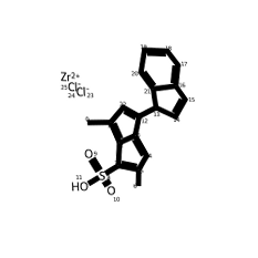 CC1=C2C(=CC(C)=C2S(=O)(=O)O)C(C2C=Cc3ccccc32)=C1.[Cl-].[Cl-].[Zr+2]